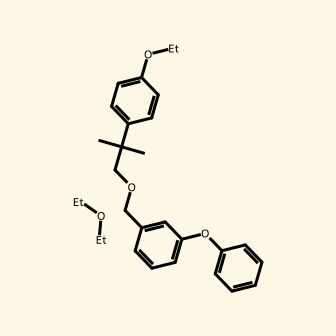 CCOCC.CCOc1ccc(C(C)(C)COCc2cccc(Oc3ccccc3)c2)cc1